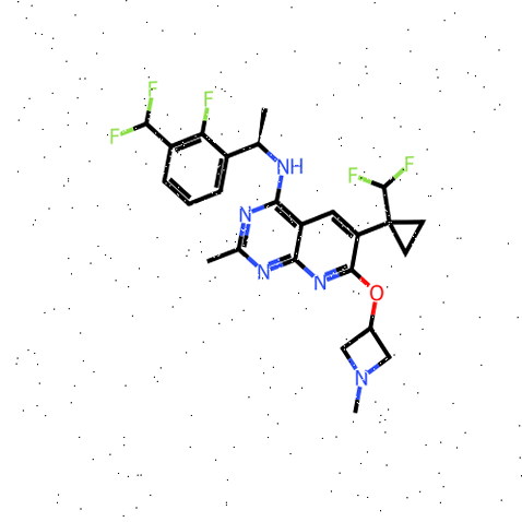 Cc1nc(N[C@H](C)c2cccc(C(F)F)c2F)c2cc(C3(C(F)F)CC3)c(OC3CN(C)C3)nc2n1